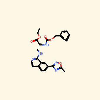 CCOC(=O)[C@@H](CNc1nccc2ccc(-c3noc(C)n3)cc12)NC(=O)OCc1ccccc1